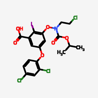 CC(C)OC(=O)N(CCCl)Oc1cc(Oc2ccc(Cl)cc2Cl)cc(C(=O)O)c1I